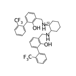 Oc1c(CNC2CCCC[C@@H]2NCc2cccc(-c3ccccc3C(F)(F)F)c2O)cccc1-c1ccccc1C(F)(F)F